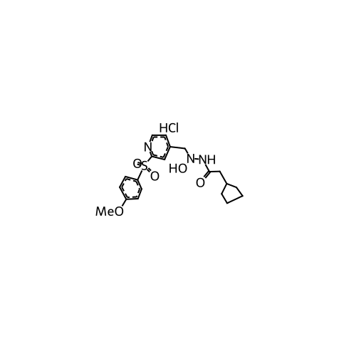 COc1ccc(S(=O)(=O)c2cc(CN(O)NC(=O)CC3CCCC3)ccn2)cc1.Cl